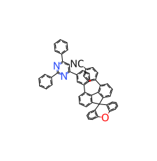 N#Cc1ccc(-c2cccc3c2-c2c(-c4cccc(-c5cc(-c6ccccc6)nc(-c6ccccc6)n5)c4)cccc2C32c3ccccc3Oc3ccccc32)cc1